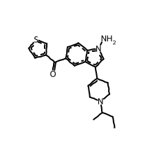 CCC(C)N1CC=C(c2cn(N)c3ccc(C(=O)c4ccsc4)cc23)CC1